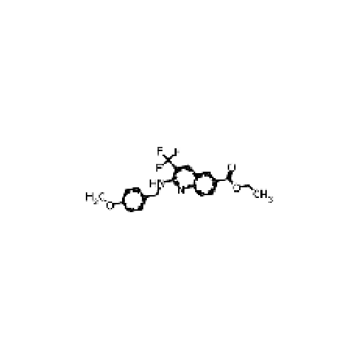 CCOC(=O)c1ccc2nc(NCc3ccc(OC)cc3)c(C(F)(F)F)cc2c1